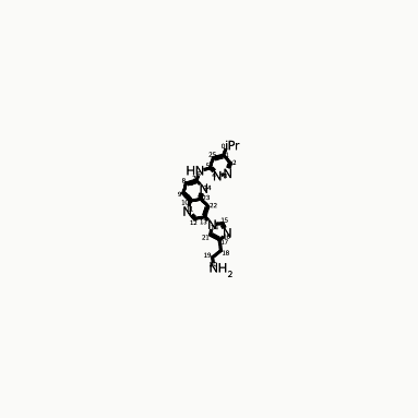 CC(C)c1cnnc(Nc2ccc3ncc(-n4cnc(CCN)c4)cc3n2)c1